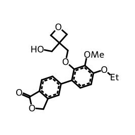 CCOc1ccc(-c2ccc3c(c2)COC3=O)c(OCC2(CO)COC2)c1OC